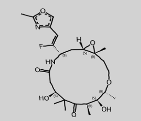 Cc1nc(C=C(F)[C@@H]2C[C@@H]3O[C@]3(C)CCO[C@H](C)[C@@H](O)[C@@H](C)C(=O)C(C)(C)[C@@H](O)CC(=O)N2)co1